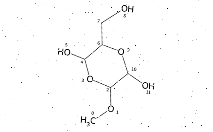 COC1OC(O)C(CO)OC1O